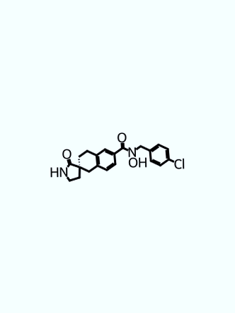 O=C(c1ccc2c(c1)CC[C@@]1(CCNC1=O)C2)N(O)Cc1ccc(Cl)cc1